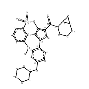 COc1cccc2c1-c1c(c(C(=O)N3CCOC4CC43)nn1-c1ccc(CN3CCOCC3)cc1)CS2(=O)=O